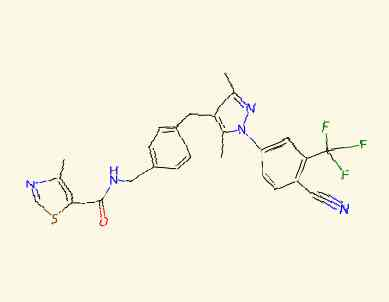 Cc1ncsc1C(=O)NCc1ccc(Cc2c(C)nn(-c3ccc(C#N)c(C(F)(F)F)c3)c2C)cc1